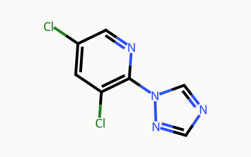 Clc1cnc(-n2cncn2)c(Cl)c1